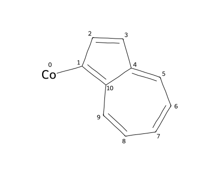 [Co][c]1ccc2cccccc1-2